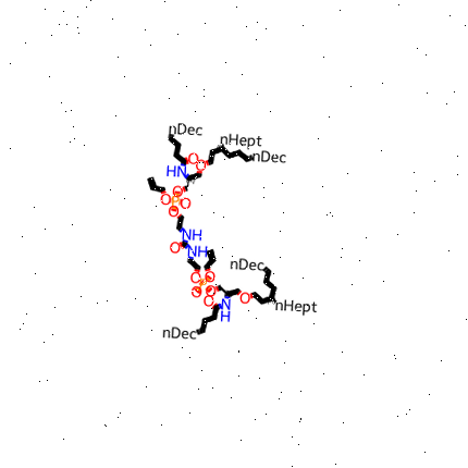 C=CCOP(=O)(OCCNC(=O)NCCOP(=O)(OCC=C)OC[C@@H](COCC[C@H](CCCCCCC)CCCCCCCCCCCCC)NC(=O)CCCCCCCCCCCCC)OC[C@@H](COCC[C@H](CCCCCCC)CCCCCCCCCCCCC)NC(=O)CCCCCCCCCCCCC